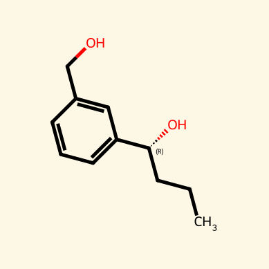 CCC[C@@H](O)c1cccc(CO)c1